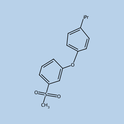 CC(C)c1ccc(Oc2cccc(S(C)(=O)=O)c2)cc1